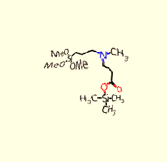 CO[Si](CCCN(C)CCC(=O)O[Si](C)(C)C)(OC)OC